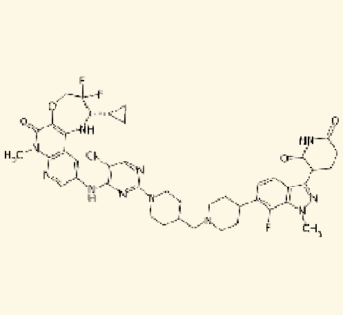 Cn1nc(C2CCC(=O)NC2=O)c2ccc(C3CCN(CC4CCN(c5ncc(Cl)c(Nc6cnc7c(c6)c6c(c(=O)n7C)OCC(F)(F)[C@H](C7CC7)N6)n5)CC4)CC3)c(F)c21